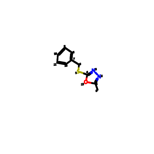 Cc1nnc(SCc2ccccc2)o1